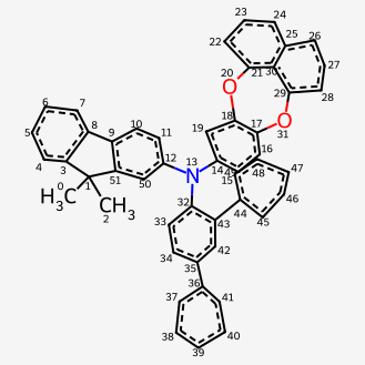 CC1(C)c2ccccc2-c2ccc(N(c3ccc4c(c3)Oc3cccc5cccc(c35)O4)c3ccc(-c4ccccc4)cc3-c3ccccc3)cc21